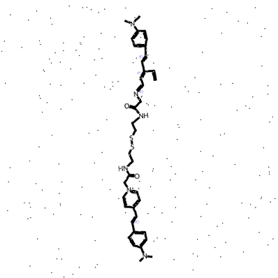 C=CC(/C=C/c1ccc(N(C)C)cc1)=C\C=N\CC(=O)NCCSSCCNC(=O)C[n+]1ccc(/C=C/c2ccc(N(C)C)cc2)cc1